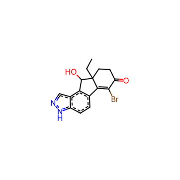 CCC12CCC(=O)C(Br)=C1c1ccc3[nH]ncc3c1C2O